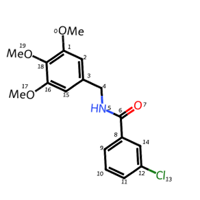 COc1cc(CNC(=O)c2cccc(Cl)c2)cc(OC)c1OC